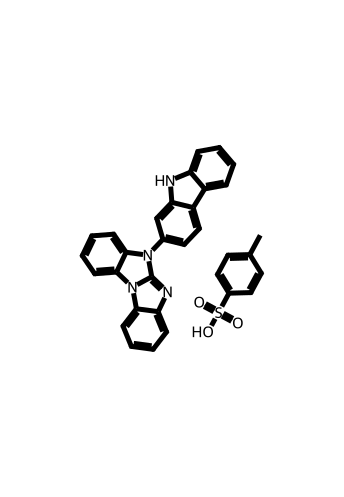 Cc1ccc(S(=O)(=O)O)cc1.c1ccc2c(c1)nc1n(-c3ccc4c(c3)[nH]c3ccccc34)c3ccccc3n21